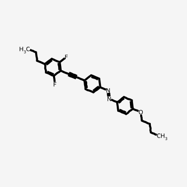 CCCCOc1ccc(N=Nc2ccc(C#Cc3c(F)cc(CCC)cc3F)cc2)cc1